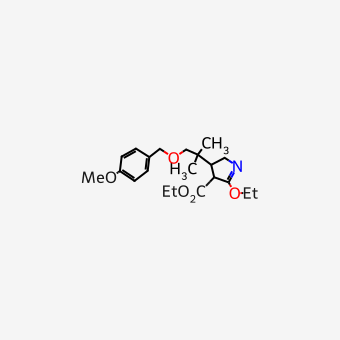 CCOC(=O)C1C(OCC)=NCC1C(C)(C)COCc1ccc(OC)cc1